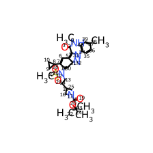 CNC(=O)c1c2cc(C3CC3)c(N(CCC3CN(C(=O)OC(C)(C)C)C3)S(C)(=O)=O)cc2nn1-c1ccc(C)cc1